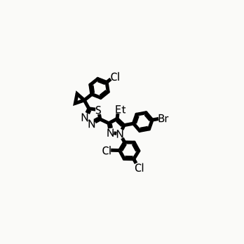 CCc1c(-c2nnc(C3(c4ccc(Cl)cc4)CC3)s2)nn(-c2ccc(Cl)cc2Cl)c1-c1ccc(Br)cc1